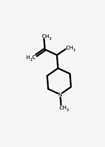 C=C(C)C(C)C1CCN(C)CC1